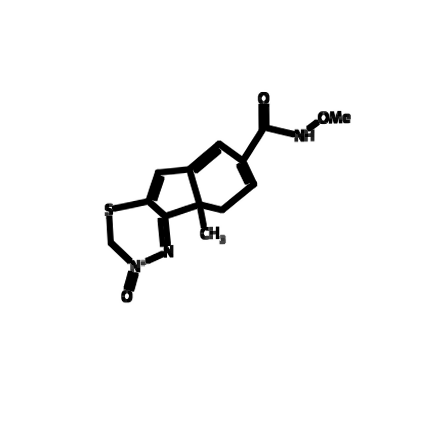 CONC(=O)C1=CCC2(C)C(=C1)C=C1SC[N+](=O)N=C12